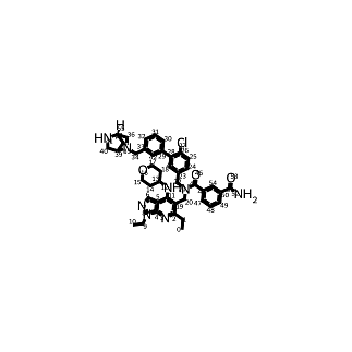 CCc1nc2c(cnn2CC)c(NC2CCOCC2)c1CN(Cc1ccc(Cl)c(-c2cccc(CN3C[C@@H]4CC3CN4)c2)c1)C(=O)c1cccc(C(N)=O)c1